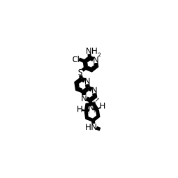 CNC1C[C@@H]2C[C@H](C)[C@@H](C1)N2c1cnc2nc(Sc3ccnc(N)c3Cl)ccc2n1